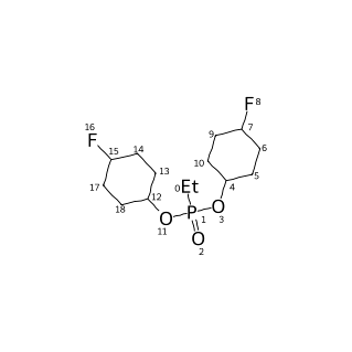 CCP(=O)(OC1CCC(F)CC1)OC1CCC(F)CC1